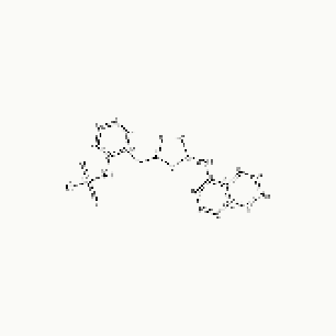 CCS(=O)(=O)Nc1ccccc1CN1CCC(Nc2cccc3cnccc23)C1